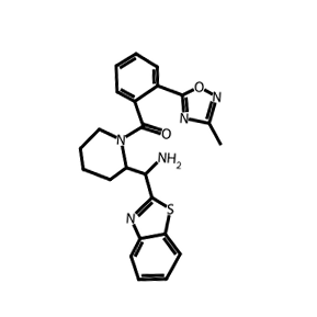 Cc1noc(-c2ccccc2C(=O)N2CCCCC2C(N)c2nc3ccccc3s2)n1